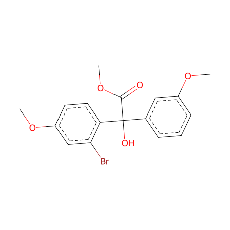 COC(=O)C(O)(c1cccc(OC)c1)c1ccc(OC)cc1Br